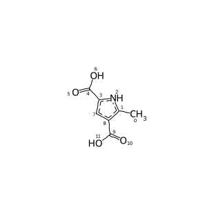 Cc1[nH]c(C(=O)O)cc1C(=O)O